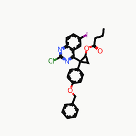 CCCC(=O)OC1CC1(c1ccc(OCc2ccccc2)cc1)c1nc(Cl)nc2ccc(I)cc12